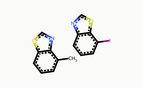 Cc1cccc2scnc12.Ic1cccc2ncsc12